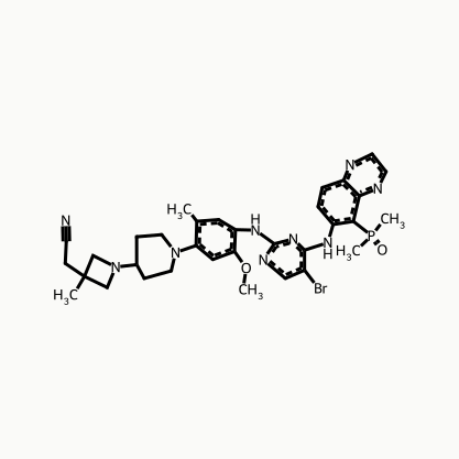 COc1cc(N2CCC(N3CC(C)(CC#N)C3)CC2)c(C)cc1Nc1ncc(Br)c(Nc2ccc3nccnc3c2P(C)(C)=O)n1